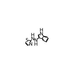 c1ccc2c(NNc3nccs3)c[nH]c2c1